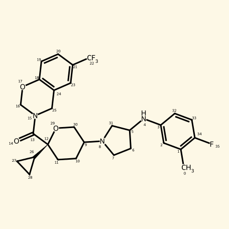 Cc1cc(NC2CCN(C3CC[C@@](C(=O)N4COc5ccc(C(F)(F)F)cc5C4)(C4CC4)OC3)C2)ccc1F